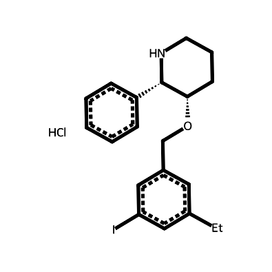 CCc1cc(I)cc(CO[C@H]2CCCN[C@H]2c2ccccc2)c1.Cl